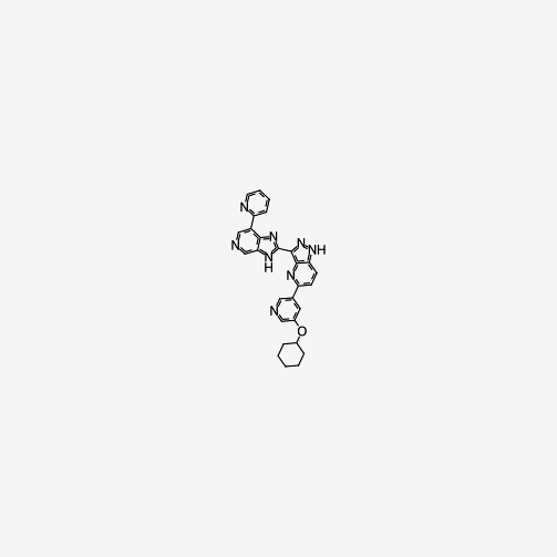 c1ccc(-c2cncc3[nH]c(-c4n[nH]c5ccc(-c6cncc(OC7CCCCC7)c6)nc45)nc23)nc1